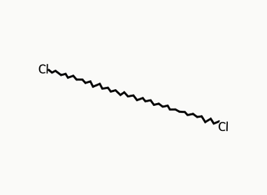 ClCCCCCCCCCCCCCCCCCCCCCCCCCCCCCCCCCCCCCCCCCl